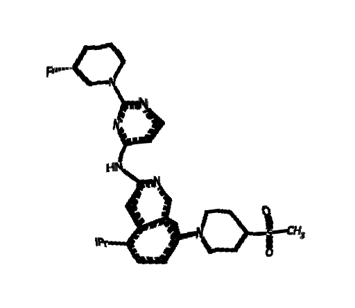 CC(C)c1ccc(N2CCC(S(C)(=O)=O)CC2)c2cnc(Nc3ccnc(N4CCC[C@@H](F)C4)n3)cc12